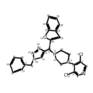 Clc1cncc(Cl)c1N1CCN(C(c2cn(Cc3ccccc3)nn2)c2cc3ccccc3o2)CC1